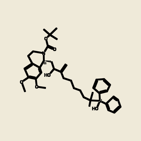 C=C(CCCCCC(C)(C)[Si](O)(c1ccccc1)c1ccccc1)C(O)C[C@@H]1c2cc(OC)c(OC)cc2CCN1C(=O)OC(C)(C)C